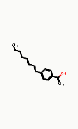 CCCCCCCCc1ccc(C(C)O)cc1